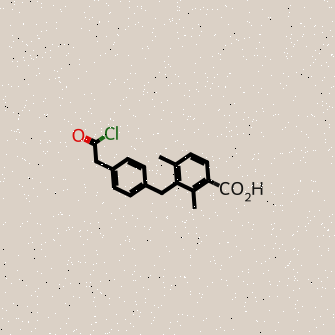 Cc1ccc(C(=O)O)c(C)c1Cc1ccc(CC(=O)Cl)cc1